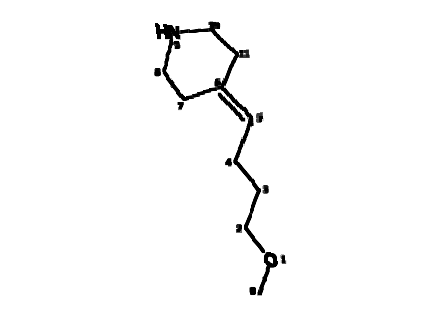 COCCC[C]=C1CCNCC1